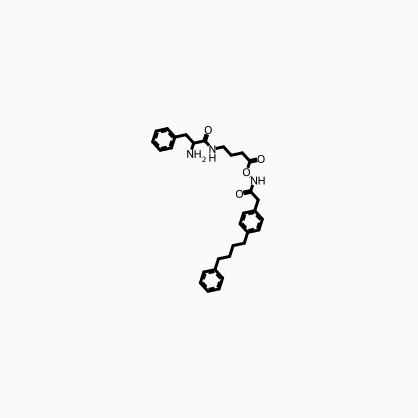 NC(Cc1ccccc1)C(=O)NCCCC(=O)ONC(=O)Cc1ccc(CCCCc2ccccc2)cc1